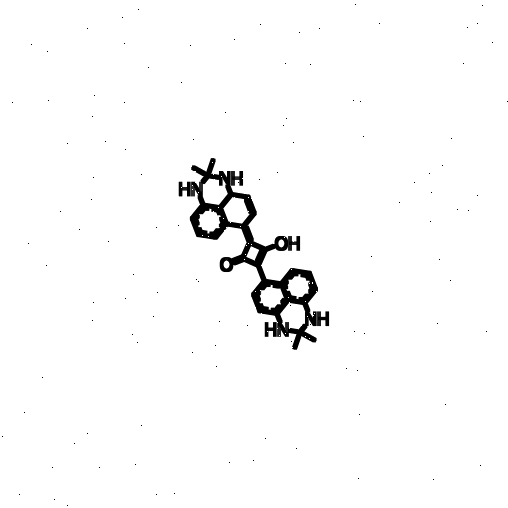 CC1(C)Nc2cccc3c(C4=C(O)/C(=C5\C=CC6NC(C)(C)Nc7cccc5c76)C4=O)ccc(c23)N1